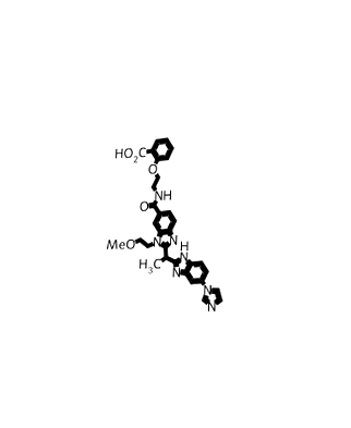 COCCn1c(C(C)c2nc3cc(-n4ccnc4)ccc3[nH]2)nc2ccc(C(=O)NCCOc3ccccc3C(=O)O)cc21